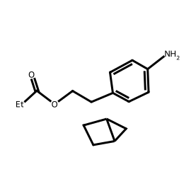 C1CC2CC12.CCC(=O)OCCc1ccc(N)cc1